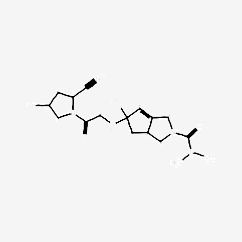 CN(C)C(=O)N1CC2=CC(C)(NCC(=O)N3CC(F)CC3C#N)CC2C1